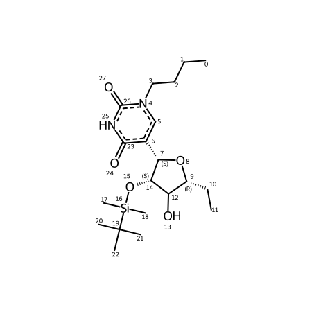 CCCCn1cc([C@@H]2O[C@H](CC)C(O)[C@@H]2O[Si](C)(C)C(C)(C)C)c(=O)[nH]c1=O